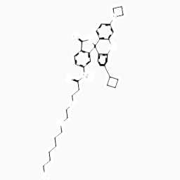 O=C(CCOCCOCCCCCCCl)Nc1ccc2c(c1)C1(OC2=O)c2ccc(C3CCC3)cc2Oc2cc(N3CCC3)ccc21